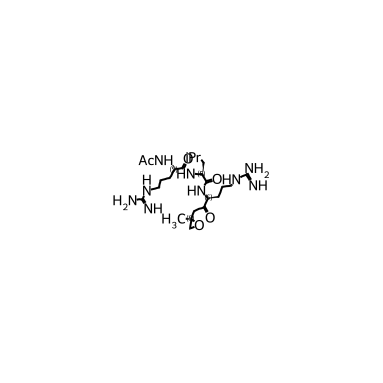 CC(=O)N[C@@H](CCCNC(=N)N)C(=O)N[C@@H](CC(C)C)C(=O)N[C@@H](CCCNC(=N)N)C(=O)C[C@@]1(C)CO1